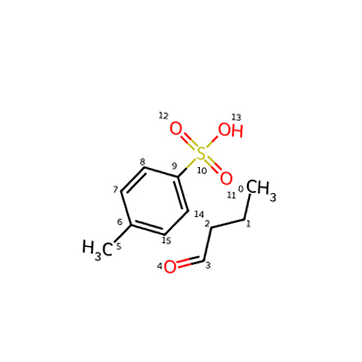 CCCC=O.Cc1ccc(S(=O)(=O)O)cc1